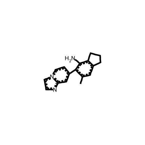 Cc1cc2c(c(N)c1-c1ccn3ccnc3c1)CCC2